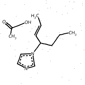 CC(=O)O.CC=CC(CCC)n1ccnc1